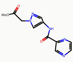 COC(=O)Cn1cc(NC(=O)c2cnccn2)cn1